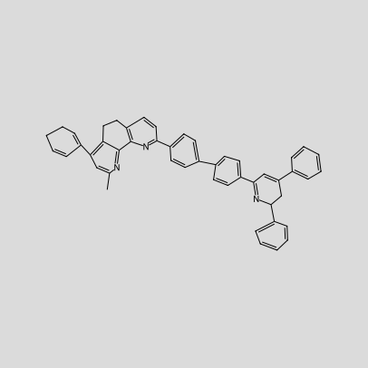 Cc1cc(C2=CCCC=C2)c2c(n1)-c1nc(-c3ccc(-c4ccc(C5=NC(c6ccccc6)CC(c6ccccc6)=C5)cc4)cc3)ccc1CC2